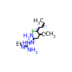 C=C=C(C/C(N)=N/N/C(N)=N\CC)/C(F)=C\C=C/C